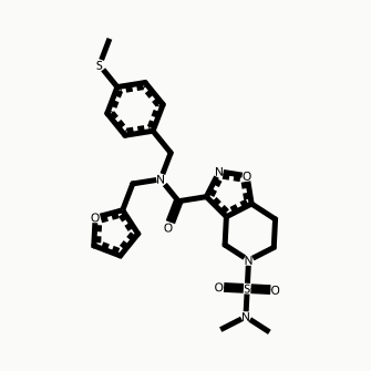 CSc1ccc(CN(Cc2ccco2)C(=O)c2noc3c2CN(S(=O)(=O)N(C)C)CC3)cc1